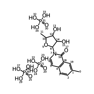 Cc1ccc2ccn(C3OC(C)C(O)C3O)c(=O)c2c1.O=P(O)(O)O.O=P(O)(O)O.O=P(O)(O)O